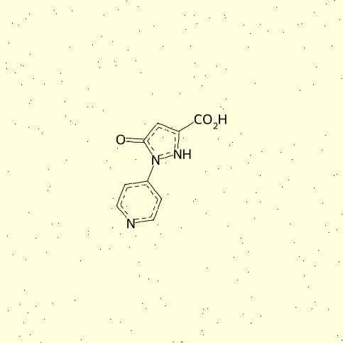 O=C(O)c1cc(=O)n(-c2ccncc2)[nH]1